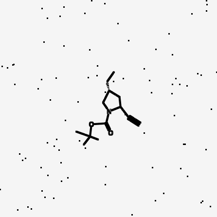 C#CC1C[C@@H](CC)CN1C(=O)OC(C)(C)C